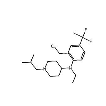 CCN(c1ccc(C(F)(F)F)cc1CCl)C1CCN(C[C](C)C)CC1